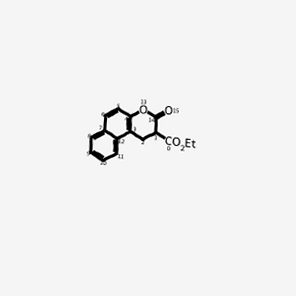 CCOC(=O)C1Cc2c(ccc3ccccc23)OC1=O